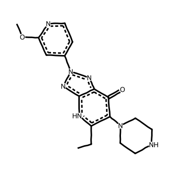 CCc1[nH]c2nn(-c3ccnc(OC)c3)nc2c(=O)c1N1CCNCC1